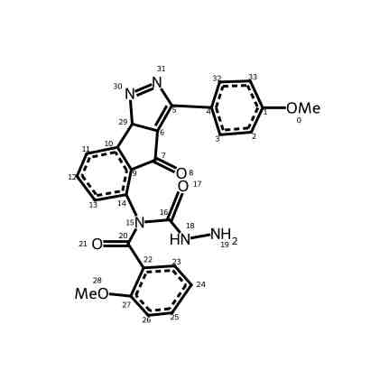 COc1ccc(C2=C3C(=O)c4c(cccc4N(C(=O)NN)C(=O)c4ccccc4OC)C3N=N2)cc1